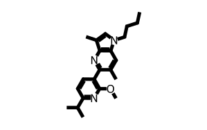 CCCCn1cc(C)c2nc(-c3ccc(C(C)C)nc3OC)c(C)cc21